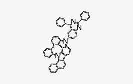 c1ccc(-c2nc(-c3ccccc3)c3cc(-n4c5cccc6c7ccccc7n7c8c9ccccc9ccc8c8ccc4c(c65)c87)ccc3n2)cc1